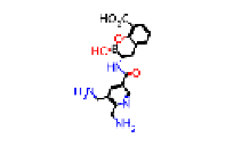 NCc1cc(C(=O)N[C@H]2Cc3cccc(C(=O)O)c3OB2O)cnc1CN